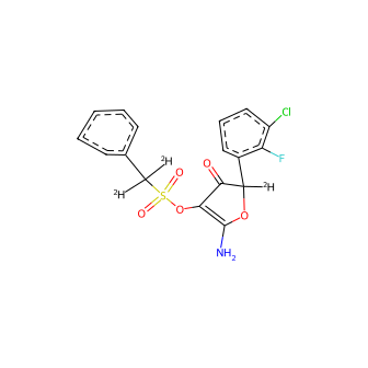 [2H]C1(c2cccc(Cl)c2F)OC(N)=C(OS(=O)(=O)C([2H])([2H])c2ccccc2)C1=O